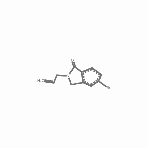 C=CCN1Cc2cc(Br)ccc2C1=O